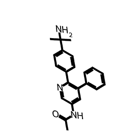 CC(=O)Nc1cnc(-c2ccc(C(C)(C)N)cc2)c(-c2ccccc2)c1